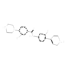 O=C(Nc1ccc(C2=CCNCC2)c(F)c1)c1ccc(N2CCNCC2)c(F)c1